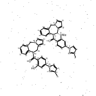 COc1cc(-n2ccc(C)n2)ccc1C(=O)N1Cc2cccn2Cc2ccccc21.Cc1ccn(-c2ccc(C(=O)N3Cc4cccn4Cc4ccccc43)c(O)c2)n1